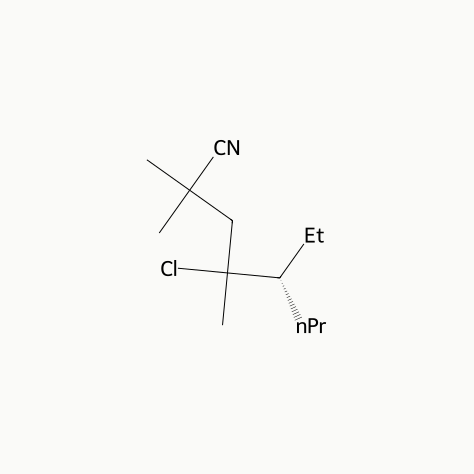 CCC[C@@H](CC)C(C)(Cl)CC(C)(C)C#N